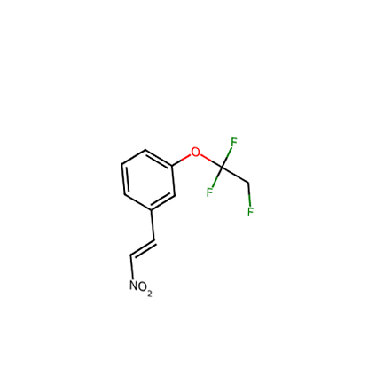 O=[N+]([O-])/C=C/c1cccc(OC(F)(F)CF)c1